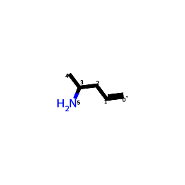 [CH]=CCC(C)N